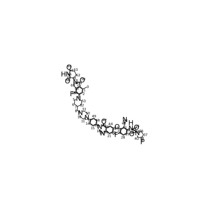 Cc1cc(N2CCC(CN3CCN(c4ccc(-n5cnc6ccc(Oc7c(F)ccc(NS(=O)(=O)N8CC[C@@H](F)C8)c7C#N)cc6c5=O)cc4)CC3)CC2)c(F)c2c1C(=O)N([C@@H]1CCC(=O)NC1=O)C2